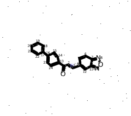 O=C(/C=C/c1ccc2nonc2c1)c1ccc(-c2ccccc2)cc1